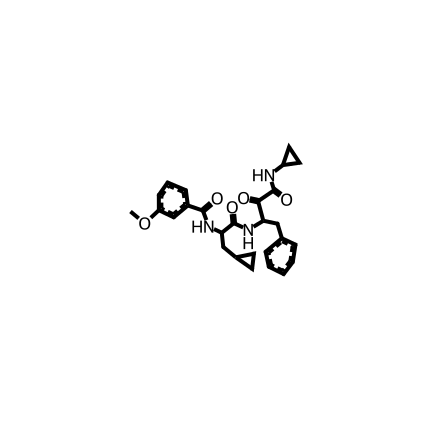 COc1cccc(C(=O)NC(CC2CC2)C(=O)NC(Cc2ccccc2)C(=O)C(=O)NC2CC2)c1